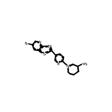 CCCC1CCCN(c2ccc(-c3nc4ncc(Br)cc4s3)cn2)C1